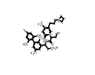 Cc1cc(F)cc(C)c1-c1cc(C(F)(F)F)cc(C(CC(=O)O)NC(=O)C(CC(C)C)n2cc(CCCN3CCC3)c(C(F)(F)F)cc2=O)c1F